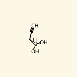 C#CC[SiH](O)O